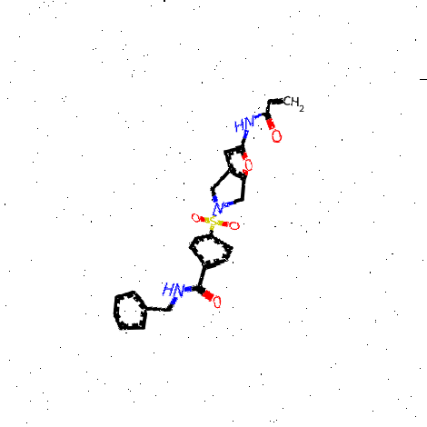 C=CC(=O)Nc1cc2c(o1)CN(S(=O)(=O)c1ccc(C(=O)NCc3ccccc3)cc1)C2